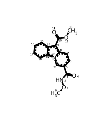 CONC(=O)c1ccc2c(C(=O)OC)c3ccccc3n2c1